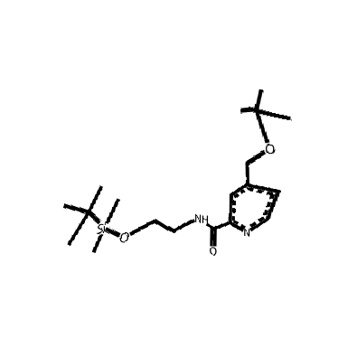 CC(C)(C)OCc1ccnc(C(=O)NCCO[Si](C)(C)C(C)(C)C)c1